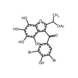 CC(=O)OC(C)c1oc2c(O)c(O)c(O)c(O)c2c1C(=O)c1cc(Br)c(O)c(Br)c1